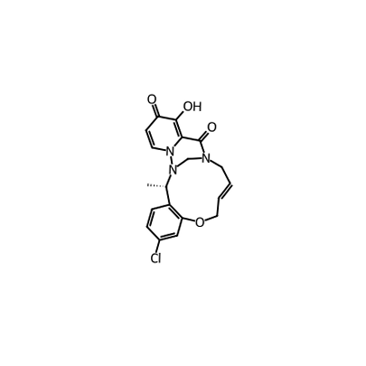 C[C@H]1c2ccc(Cl)cc2OC/C=C/CN2CN1n1ccc(=O)c(O)c1C2=O